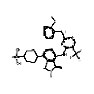 COc1ccccc1Nc1ncc(C(F)(F)F)c(Nc2ccc(C3CCC(P(=O)(O)O)CC3)c3c2C(=O)N(C)C3)n1